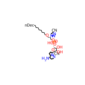 CCCCCCCCCCCCCCCCCCOC[C@H](COP(=O)(O)OC[C@H]1O[C@@](C#N)(c2ccc3c(N)ccnn23)[C@H](O)[C@@H]1O)n1cc(C#N)nn1